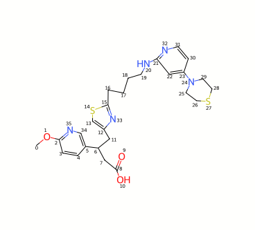 COc1ccc(C(CC(=O)O)Cc2csc(CCCCNc3cc(N4CCSCC4)ccn3)n2)cn1